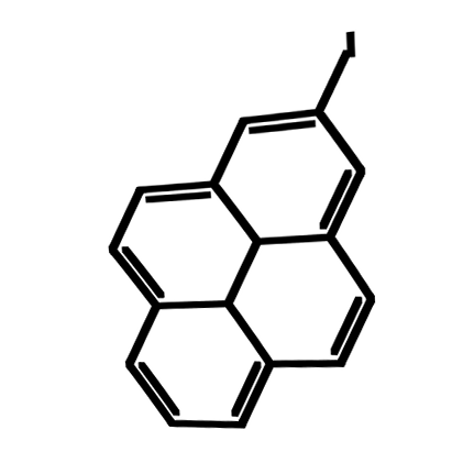 IC1=CC2=CC=C3C=CC=C4C=CC(=C1)C2C43